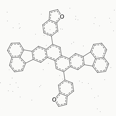 c1cc2c3c(cccc3c1)-c1cc3c(cc1-2)c(-c1ccc2ccoc2c1)cc1c2cc4c(cc2c(-c2ccc5ccoc5c2)cc31)-c1cccc2cccc-4c12